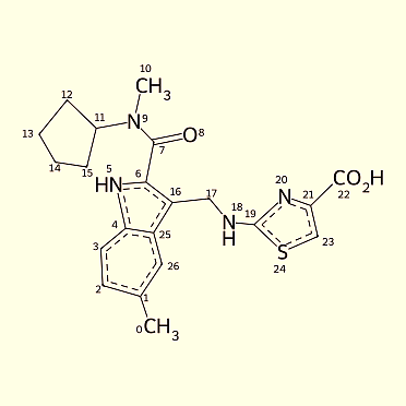 Cc1ccc2[nH]c(C(=O)N(C)C3CCCC3)c(CNc3nc(C(=O)O)cs3)c2c1